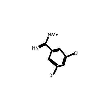 CNC(=N)c1cc(Cl)cc(Br)c1